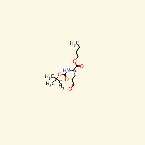 CCCCOC(=O)[C@H](CCC=O)NC(=O)OC(C)(C)C